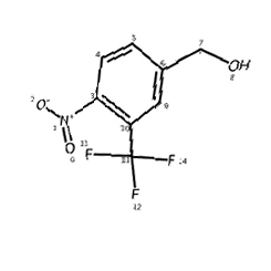 O=[N+]([O-])c1ccc([CH]O)cc1C(F)(F)F